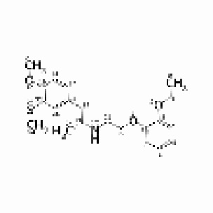 CCOc1ccccc1OCCN[C@H](C)Cc1ccc(OC)c(SC)c1